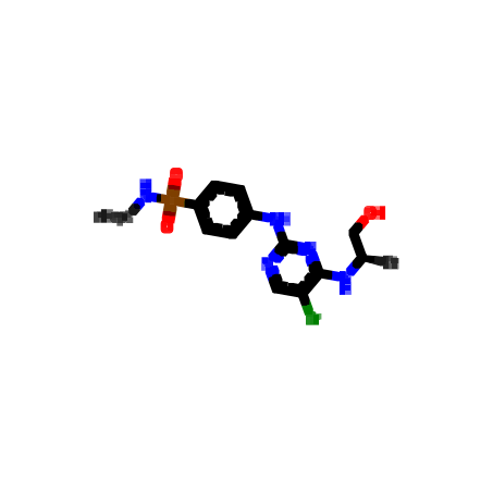 CCCCCCCNS(=O)(=O)c1ccc(Nc2ncc(Br)c(N[C@H](CC)CO)n2)cc1